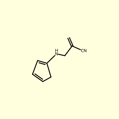 C=C(C#N)CNC1=CC=CC1